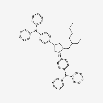 CCCCC(CC)CC1CC(c2ccc(N(c3ccccc3)c3ccccc3)cc2)=C[SH]1c1ccc(N(c2ccccc2)c2ccccc2)cc1